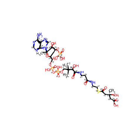 CC(C)(COP(=O)(O)OP(=O)(O)OCC1OC(C)(n2cnc3c(N)ncnc32)C(O)C1OP(=O)(O)O)C(O)C(=O)NCCC(=O)NCCSC(=O)C[C@@](C)(O)CC(=O)O